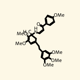 COC1=C(OC)C(C)(N/C=C\C(=O)c2ccc(OC)cc2)CC(CCc2cc(OC)c(OC)c(OC)c2)=C1